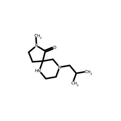 CC(C)CN1CCNC2(CCN(C)C2=O)C1